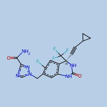 NC(=O)c1ncn(Cc2cc3c(cc2F)[C@@](C#CC2CC2)(C(F)(F)F)NC(=O)N3)n1